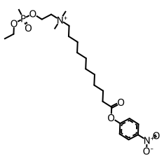 CCOP(C)(=O)OCC[N+](C)(C)CCCCCCCCCCC(=O)Oc1ccc([N+](=O)[O-])cc1